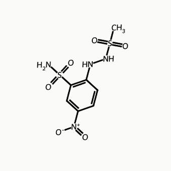 CS(=O)(=O)NNc1ccc([N+](=O)[O-])cc1S(N)(=O)=O